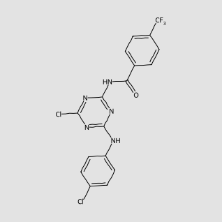 O=C(Nc1nc(Cl)nc(Nc2ccc(Cl)cc2)n1)c1ccc(C(F)(F)F)cc1